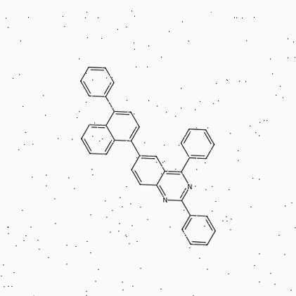 c1ccc(-c2nc(-c3ccccc3)c3cc(-c4ccc(-c5ccccc5)c5ccccc45)ccc3n2)cc1